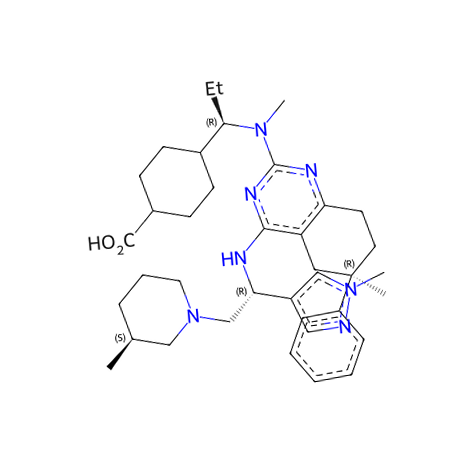 CC[C@H](C1CCC(C(=O)O)CC1)N(C)c1nc2c(c(N[C@@H](CN3CCC[C@H](C)C3)c3cnn(C)c3)n1)C[C@](C)(c1ccccc1)CC2